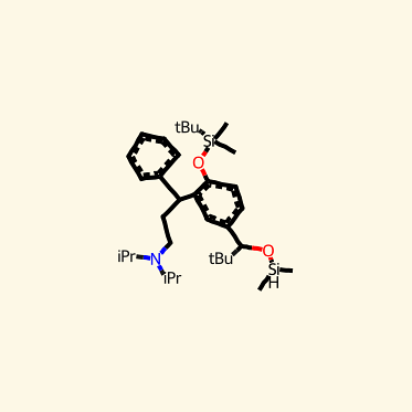 CC(C)N(CCC(c1ccccc1)c1cc(C(O[SiH](C)C)C(C)(C)C)ccc1O[Si](C)(C)C(C)(C)C)C(C)C